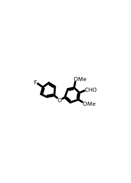 COc1cc(Oc2ccc(F)cc2)cc(OC)c1C=O